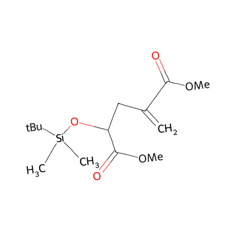 C=C(CC(O[Si](C)(C)C(C)(C)C)C(=O)OC)C(=O)OC